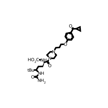 CC(C)(C)C(CC[C@@H](NC(=O)O)C(=O)N1CCN(CCCOc2ccc(C(=O)C3CC3)cc2)CC1)NC(N)=O